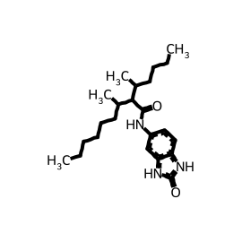 CCCCCCC(C)C(C(=O)Nc1ccc2[nH]c(=O)[nH]c2c1)C(C)CCCC